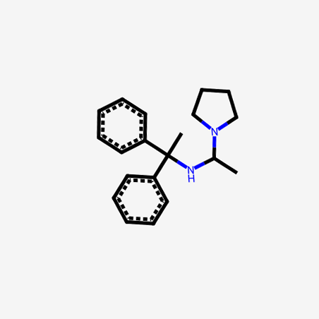 CC(NC(C)(c1ccccc1)c1ccccc1)N1CCCC1